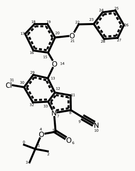 CC(C)(C)OC(=O)n1c(C#N)cc2c(Oc3ccccc3OCc3ccccc3)cc(Cl)cc21